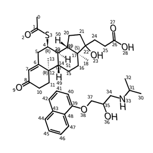 CC(=O)S[C@@H]1CC2=CC(=O)CC[C@]2(C)[C@H]2CC[C@@]3(C)[C@@H](CCC3(O)CCC(=O)O)[C@H]12.CC(C)NCC(O)COc1cccc2ccccc12